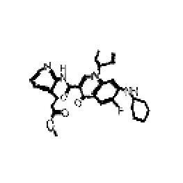 CCC(CC)n1cc(C(=O)Nc2ncccc2CCC(=O)OC)c(=O)c2cc(F)c(NC3CCCCC3)cc21